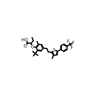 CCC(Oc1c(C)cc(CCc2sc(-c3ccc(C(F)(F)F)cc3)cc2C)cc1C(C)(C)C)C(=O)O